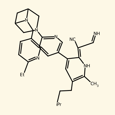 CCc1ccc(CN2C3CC2CN(c2ccc(C4=CC(CCC(C)C)=C(C)N/C4=C(/C#N)C=N)cn2)C3)cn1